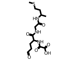 CSCCC(C)NC(=O)CNC(=O)C(CCC=O)NC(=O)C(=O)O